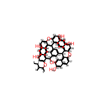 CCC(C)C(C)Oc1ccc2cc(O)ccc2c1C(O)c1cc(C2c3c(ccc4cc(O)ccc34)Oc3ccc4cc(O)ccc4c32)cc(C2c3c(ccc4cc(O)ccc34)Oc3ccc4cc(O)ccc4c32)c1